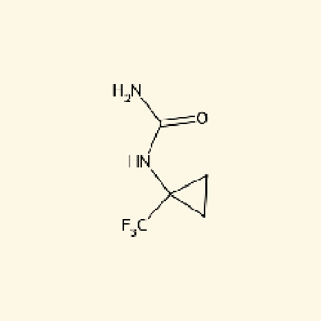 NC(=O)NC1(C(F)(F)F)CC1